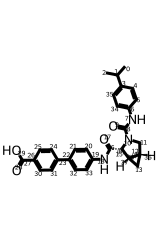 CC(C)c1ccc(NC(=O)N2C[C@@H]3C[C@@H]3[C@@H]2C(=O)Nc2ccc(-c3ccc(C(=O)O)cc3)cc2)cc1